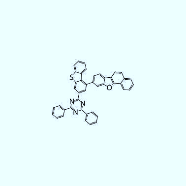 c1ccc(-c2nc(-c3ccccc3)nc(-c3cc(-c4ccc5c(c4)oc4c6ccccc6ccc54)c4c(c3)sc3ccccc34)n2)cc1